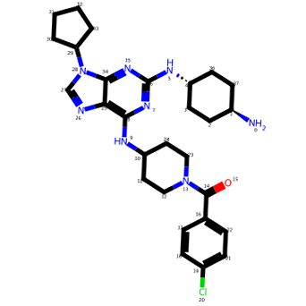 N[C@H]1CC[C@H](Nc2nc(NC3CCN(C(=O)c4ccc(Cl)cc4)CC3)c3ncn(C4CCCC4)c3n2)CC1